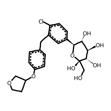 OC[C@]1(O)O[C@@H](c2ccc(Cl)c(Cc3ccc(OC4CCOC4)cc3)c2)[C@H](O)[C@@H](O)[C@@H]1O